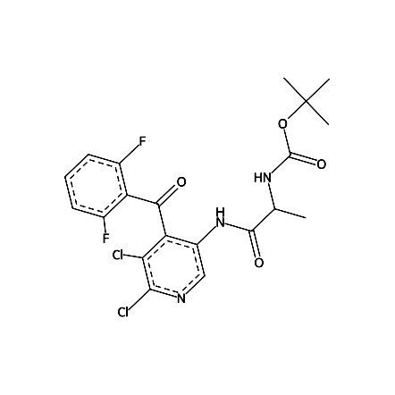 CC(NC(=O)OC(C)(C)C)C(=O)Nc1cnc(Cl)c(Cl)c1C(=O)c1c(F)cccc1F